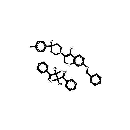 O=C(O)C(O)(C(=O)c1ccccc1)C(O)(C(=O)O)C(=O)c1ccccc1.OC1=C(N2CCC(O)(c3ccc(F)cc3)CC2)COc2cc(OCc3ccccc3)ccc21